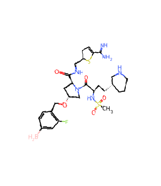 Bc1ccc(CO[C@@H]2C[C@@H](C(=O)NCC3CC=C(C(=N)N)S3)N(C(=O)[C@@H](CC[C@H]3CCCNC3)NS(C)(=O)=O)C2)c(F)c1